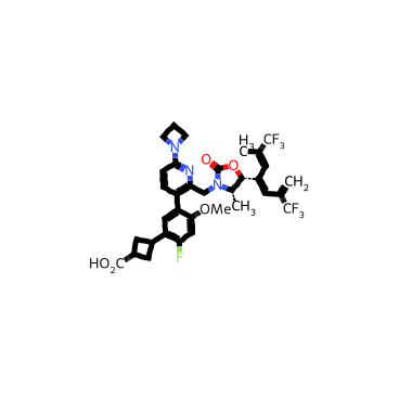 C=C(/C=C(\C=C(/C)C(F)(F)F)[C@H]1OC(=O)N(Cc2nc(N3CCC3)ccc2-c2cc(C3CC(C(=O)O)C3)c(F)cc2OC)[C@H]1C)C(F)(F)F